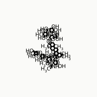 CCC(=O)N[C@@H]1C(O)C(O[C@@H]2OC(C)[C@H](O[C@@H]3OC[C@@H](O)C(O[C@@H]4OC[C@@](O)(CO)C4O)C3O)C(O)C2O)[C@H](OC(=O)[C@]23CCC(C)(C)CC2C2=CCC4C5(C)CC[C@H](O[C@@H]6OC(C(=O)O)[C@@H](O)[C@H](O[C@@H]7OC[C@@H](O)[C@H](O)C7O)C6O[C@@H]6OC(CO)[C@H](O)[C@H](O)C6O)[C@](C)(C=O)[C@@H]5CC[C@]4(C)[C@]2(C)CC3O)O[C@@H]1CO